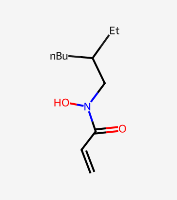 C=CC(=O)N(O)CC(CC)CCCC